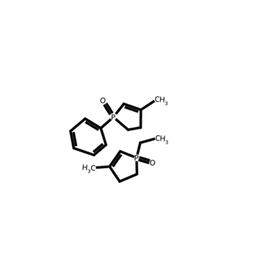 CC1=CP(=O)(c2ccccc2)CC1.CCP1(=O)C=C(C)CC1